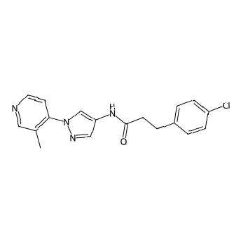 Cc1cnccc1-n1cc(NC(=O)CCc2ccc(Cl)cc2)cn1